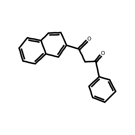 O=C(CC(=O)c1ccc2ccccc2c1)c1ccccc1